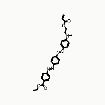 C=CC(=O)OCCN(C)c1ccc(N=Nc2ccc(N=Nc3ccc(C(=O)OCC)cc3)cc2)cc1